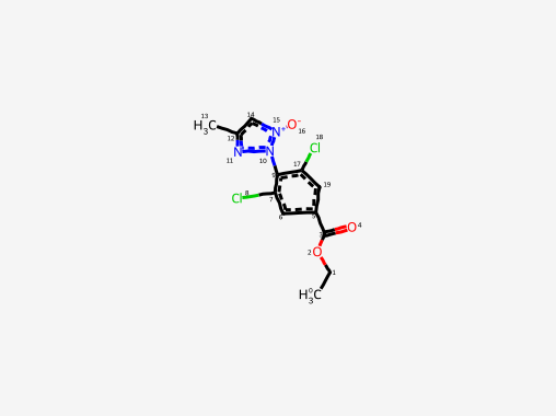 CCOC(=O)c1cc(Cl)c(-n2nc(C)c[n+]2[O-])c(Cl)c1